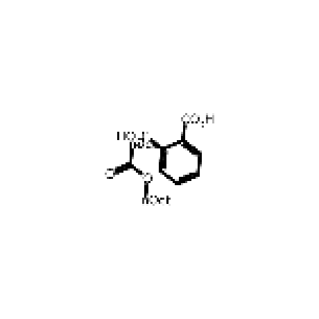 CCCCCCCCCCC(=O)OCCCCCCCC.O=C(O)c1ccccc1C(=O)O